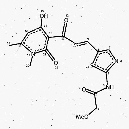 COCC(=O)Nc1ncc(C=CC(=O)c2c(O)cc(C)n(C)c2=O)s1